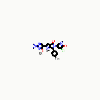 CCOc1nc(N(C)C)ncc1-c1cc2c(n1C(C)C)C(c1ccc(C#N)cc1)N(c1cc(Cl)c(=O)n(C)c1)C2=O